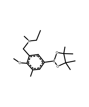 CCN(C)Cc1cc(B2OC(C)(C)C(C)(C)O2)cc(C)c1OC